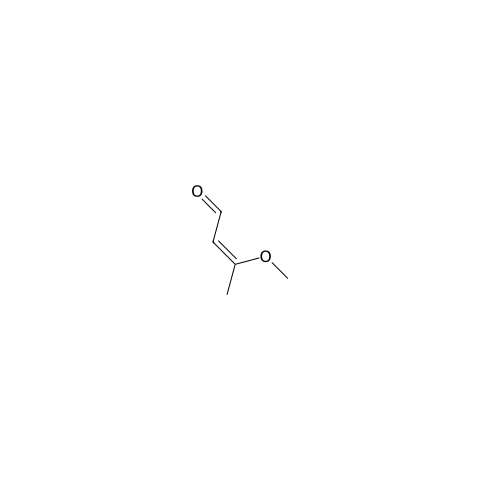 CO/C(C)=C\C=O